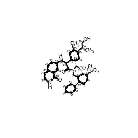 CCOC(=O)CN(Cc1cc([N+](=O)[O-])ccc1-c1ccccc1)C(=O)C(Nc1ccc2cc[nH]c(=O)c2c1)c1ccc([C@@H](C)CO)c(C)c1